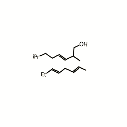 CC(C)CCC=CC(C)CO.CC=CCC=CCC